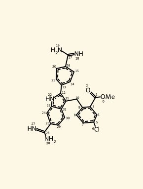 COC(=O)c1cc(Cl)ccc1Cc1c(-c2ccc(C(=N)N)cc2)[nH]c2cc(C(=N)N)ccc12